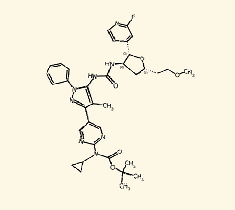 COCC[C@@H]1C[C@@H](NC(=O)Nc2c(C)c(-c3cnc(N(C(=O)OC(C)(C)C)C4CC4)nc3)nn2-c2ccccc2)[C@H](c2ccnc(F)c2)O1